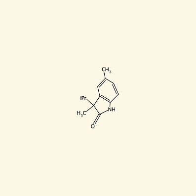 Cc1ccc2c(c1)C(C)(C(C)C)C(=O)N2